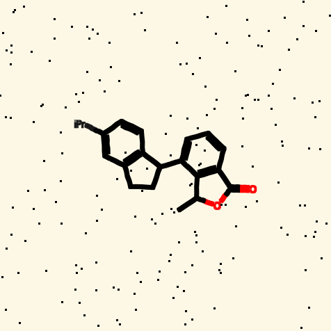 CC(C)c1ccc2c(c1)CCC2c1cccc2c1C(C)OC2=O